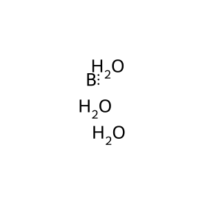 O.O.O.[B]